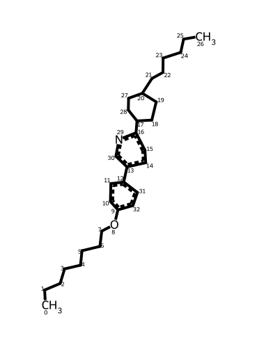 CCCCCCCCOc1ccc(-c2ccc(C3CCC(CCCCCC)CC3)nc2)cc1